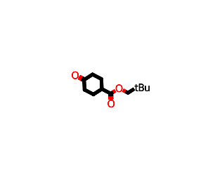 CC(C)(C)COC(=O)C1CCC(=O)CC1